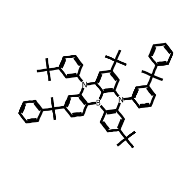 CC(C)(C)c1cccc(N2c3cc(C(C)(C)c4ccccc4)ccc3B3c4ccc(C(C)(C)C)cc4N(c4cccc(C(C)(C)c5ccccc5)c4)c4cc(C(C)(C)C)cc2c43)c1